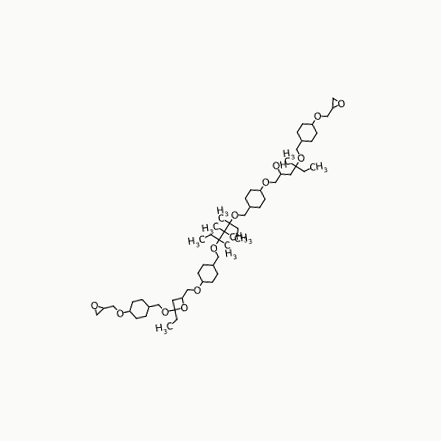 CCC(C)(CC(O)COC1CCC(COC(C)(CC)C(C)(C)C(C)(CC)OCC2CCC(OCC3CC(CC)(OCC4CCC(OCC5CO5)CC4)O3)CC2)CC1)OCC1CCC(OCC2CO2)CC1